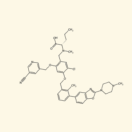 CCC[C@@H](C(=O)O)N(C)Cc1cc(Cl)c(OCc2cccc(-c3ccc4oc(N5CCN(C)CC5)nc4c3)c2C)cc1OCc1cncc(C#N)c1